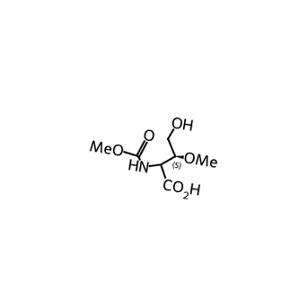 COC(=O)NC(C(=O)O)[C@@H](CO)OC